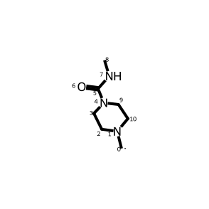 [CH2]N1CCN(C(=O)NC)CC1